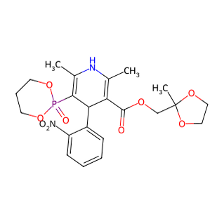 CC1=C(C(=O)OCC2(C)OCCO2)C(c2ccccc2[N+](=O)[O-])C(P2(=O)OCCCO2)=C(C)N1